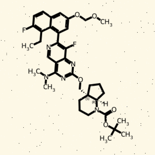 CCc1c(F)ccc2cc(OCOC)cc(-c3ncc4c(N(C)C)nc(OC[C@]56CCC[C@H]5N(C(=O)OC(C)(C)C)CCC6)nc4c3F)c12